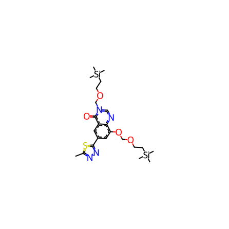 Cc1nnc(-c2cc(OCOCC[Si](C)(C)C)c3ncn(COCC[Si](C)(C)C)c(=O)c3c2)s1